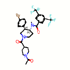 CC(=O)N1CCC(C(=O)N2CC[C@@H](N(C)C(=O)c3cc(C(F)(F)F)cc(C(F)(F)F)c3)[C@H](c3ccc(Br)cc3)C2)CC1